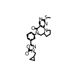 CSc1ncc2c(n1)N1CCCC1CN(c1cccc(-c3nn(CC4CC4)c(=O)o3)c1)C2=O